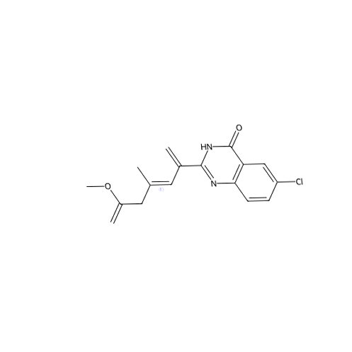 C=C(C/C(C)=C/C(=C)c1nc2ccc(Cl)cc2c(=O)[nH]1)OC